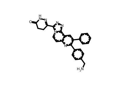 NCc1ccc(-c2nc3ccn4c(C5=NNC(=O)CC5)nnc4c3cc2-c2ccccc2)cc1